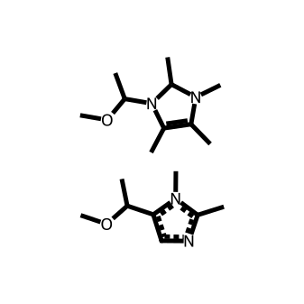 COC(C)N1C(C)=C(C)N(C)C1C.COC(C)c1cnc(C)n1C